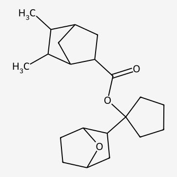 CC1C2CC(C(=O)OC3(C4CC5CCC4O5)CCCC3)C(C2)C1C